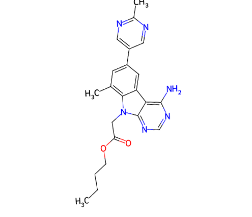 CCCCOC(=O)Cn1c2ncnc(N)c2c2cc(-c3cnc(C)nc3)cc(C)c21